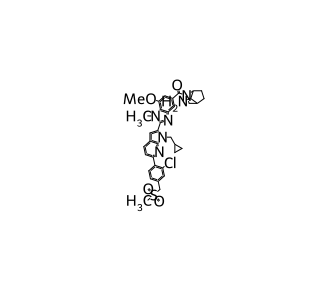 COc1cc(C(=O)N2CC3CCC2C3N)cc2nc(-c3cc4ccc(-c5ccc(CS(C)(=O)=O)cc5Cl)nc4n3CC3CC3)n(C)c12